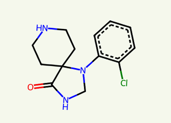 O=C1NCN(c2ccccc2Cl)C12CCNCC2